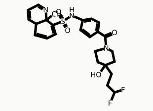 CC12N=CC=CC1C=CC=C2S(=O)(=O)Nc1ccc(C(=O)N2CCC(O)(CCC(F)F)CC2)cc1